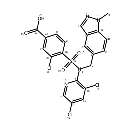 Cn1ncc2cc(CN(c3ncc(Cl)cc3Cl)S(=O)(=O)c3ccc(C(=O)O)cc3Cl)ccc21